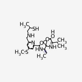 C/C=C(\NC(=O)c1cc(SC)cc(CNCC(C)S)n1)C(=O)N[C@H](C(=O)O)C(C)C